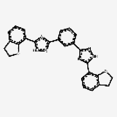 c1cc(-c2n[nH]c(-c3cccc4c3OCC4)n2)cc(-c2n[nH]c(-c3cccc4c3OCC4)n2)c1